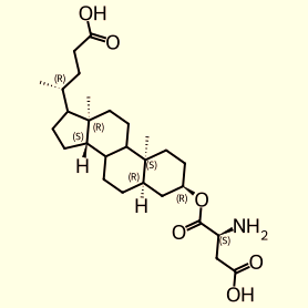 C[C@H](CCC(=O)O)C1CC[C@H]2C3CC[C@@H]4C[C@H](OC(=O)[C@@H](N)CC(=O)O)CC[C@]4(C)C3CC[C@]12C